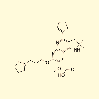 COc1cc2c3c(c(C4=CCCC4)nc2cc1OCCCN1CCCC1)CC(C)(C)N3.O=CO